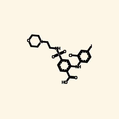 O=C(O)c1ccc(S(=O)(=O)NCCN2CCOCC2)cc1Nc1ccc(I)cc1Cl